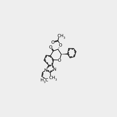 C/C=C\n1c(C)nc2c3c(ccc21)C(=O)[C@H](OC(C)=O)[C@@H](c1ccccc1)O3